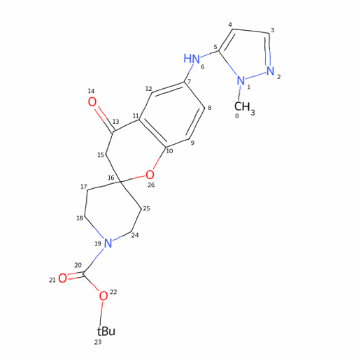 Cn1nccc1Nc1ccc2c(c1)C(=O)CC1(CCN(C(=O)OC(C)(C)C)CC1)O2